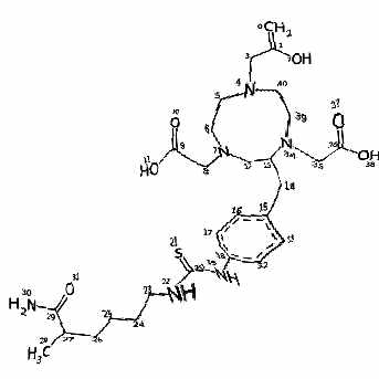 C=C(O)CN1CCN(CC(=O)O)CC(Cc2ccc(NC(=S)NCCCCC(C)C(N)=O)cc2)N(CC(=O)O)CC1